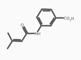 CC(C)=CC(=O)Nc1cccc(C(=O)O)c1